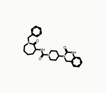 O=C(NC1CCCCN(Cc2ccccc2)C1=O)N1CCC(N2Cc3ccccc3NC2=O)CC1